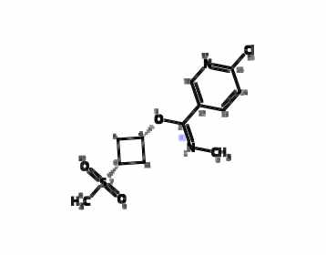 C/N=C(/O[C@H]1C[C@@H](S(C)(=O)=O)C1)c1ccc(Cl)nc1